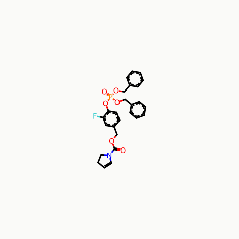 O=C(OCc1ccc(OP(=O)(OCc2ccccc2)OCc2ccccc2)c(F)c1)N1C=CCC1